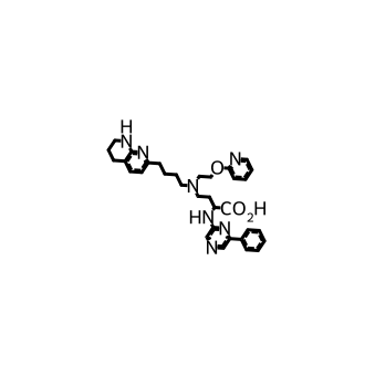 O=C(O)C(CCN(CCCCc1ccc2c(n1)NCCC2)CCOc1ccccn1)Nc1cncc(-c2ccccc2)n1